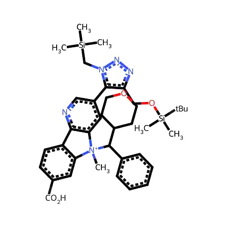 CC(C)(C)[Si](C)(C)OCc1nnn(C[Si](C)(C)C)c1-c1cnc2c(c1)[N+](C)(C(c1ccccc1)C1CCOCC1)c1cc(C(=O)O)ccc1-2